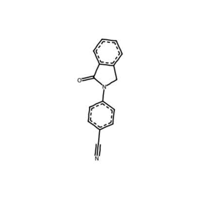 N#Cc1ccc(N2Cc3ccccc3C2=O)cc1